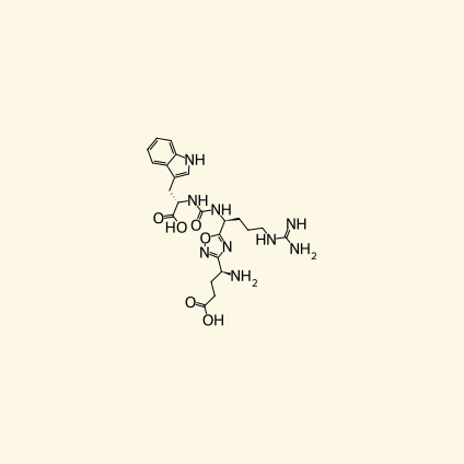 N=C(N)NCCC[C@H](NC(=O)N[C@@H](Cc1c[nH]c2ccccc12)C(=O)O)c1nc([C@@H](N)CCC(=O)O)no1